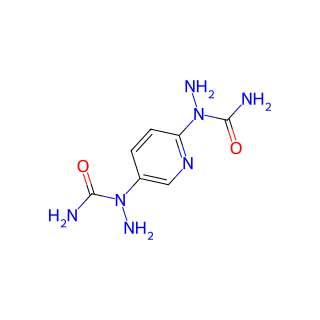 NC(=O)N(N)c1ccc(N(N)C(N)=O)nc1